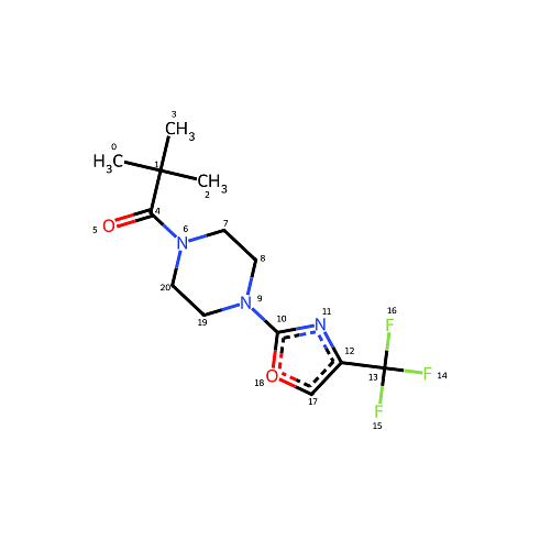 CC(C)(C)C(=O)N1CCN(c2nc(C(F)(F)F)co2)CC1